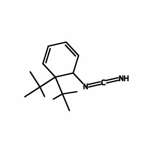 CC(C)(C)C1(C(C)(C)C)C=CC=CC1N=C=N